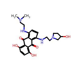 CN(C)CCNc1ccc(NCCN2CCC(O)C2)c2c1C(=O)c1c(O)ccc(O)c1C2=O